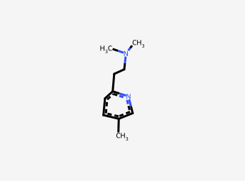 Cc1ccc(CCN(C)C)nc1